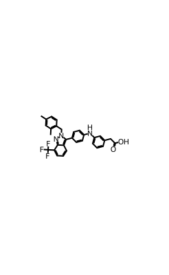 Cc1ccc(Cn2nc3c(C(F)(F)F)cccc3c2-c2ccc(Nc3cccc(CC(=O)O)c3)cc2)c(C)c1